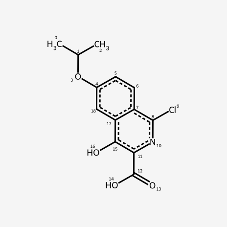 CC(C)Oc1ccc2c(Cl)nc(C(=O)O)c(O)c2c1